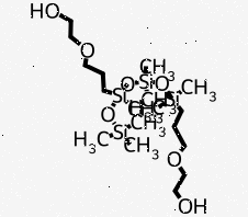 C[Si](C)(C)O[Si](C)(CCCOCCO)O[Si](C)(C)O[Si](C)(C)CCCOCCO